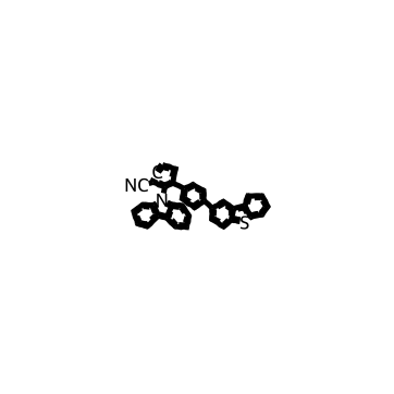 N#Cc1cccc(-c2ccc(-c3ccc4sc5ccccc5c4c3)cc2)c1-n1c2ccccc2c2ccccc21